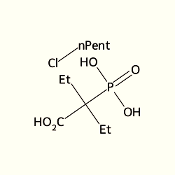 CCC(CC)(C(=O)O)P(=O)(O)O.CCCCCCl